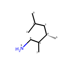 CC(C)C[C@H](C)C(C)CN